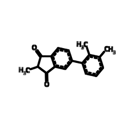 Cc1cccc(-c2ccc3c(c2)C(=O)C(C)C3=O)c1C